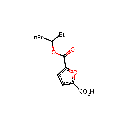 CCCC(CC)OC(=O)c1ccc(C(=O)O)o1